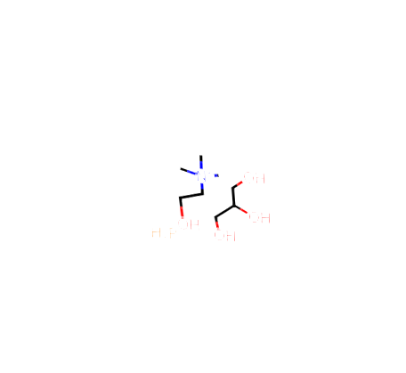 C[N+](C)(C)CCO.OCC(O)CO.P